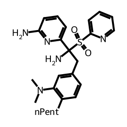 CCCCCc1ccc(CC(N)(c2cccc(N)n2)S(=O)(=O)c2ccccn2)cc1N(C)C